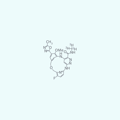 [2H]C([2H])([2H])NC(=O)c1nnc2cc1Nc1cc(cc(-c3nnc(C)o3)c1OC)COCc1nc(ccc1F)N2